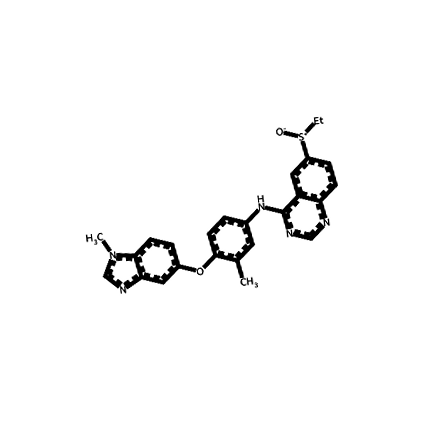 CC[S+]([O-])c1ccc2ncnc(Nc3ccc(Oc4ccc5c(c4)ncn5C)c(C)c3)c2c1